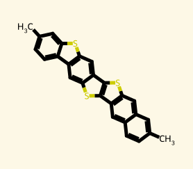 Cc1ccc2cc3c(cc2c1)sc1c2cc4sc5cc(C)ccc5c4cc2sc31